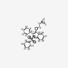 C[As](C)CCOc1c(-c2ccccc2)n(S(=O)(=O)c2ccccc2)c2ccccc12